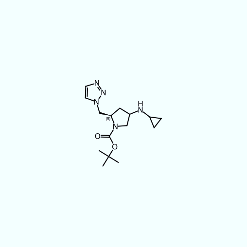 CC(C)(C)OC(=O)N1CC(NC2CC2)C[C@@H]1Cn1ccnn1